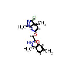 Cc1ccc([C@H](C)NC(=O)COc2cc(C)c3c(Cl)nn(C)c3n2)cc1